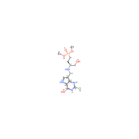 CCOP(=O)(CC[C@@H](CO)NCc1c[nH]c2c(O)nc(Cl)nc12)OCC